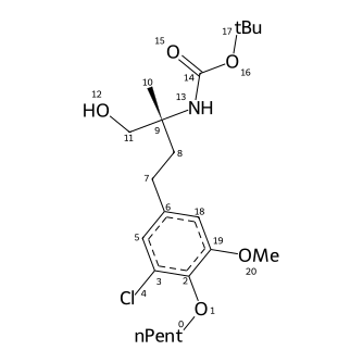 CCCCCOc1c(Cl)cc(CC[C@](C)(CO)NC(=O)OC(C)(C)C)cc1OC